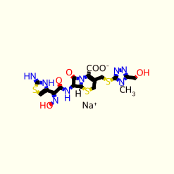 Cn1c(CO)nnc1SCC1=C(C(=O)[O-])N2C(=O)C(NC(=O)C(=NO)c3csc(=N)[nH]3)[C@@H]2SC1.[Na+]